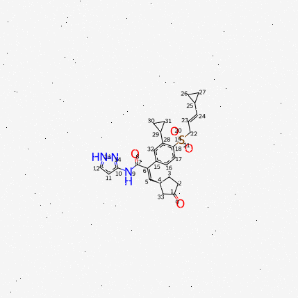 O=C1CC[C@H](/C=C(/C(=O)Nc2cc[nH]n2)c2ccc(S(=O)(=O)CC=CC3CC3)c(C3CC3)c2)C1